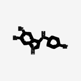 Brc1ccc(Nc2c[nH]c3cc(Br)c(Br)cc23)cc1